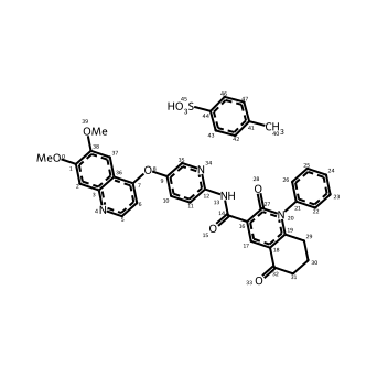 COc1cc2nccc(Oc3ccc(NC(=O)c4cc5c(n(-c6ccccc6)c4=O)CCCC5=O)nc3)c2cc1OC.Cc1ccc(S(=O)(=O)O)cc1